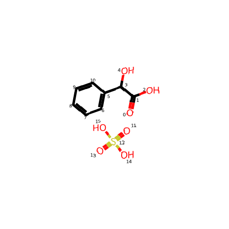 O=C(O)C(O)c1ccccc1.O=S(=O)(O)O